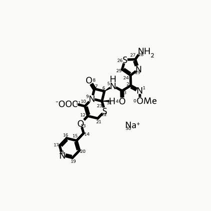 CO/N=C(\C(=O)N[C@@H]1C(=O)N2C(C(=O)[O-])=C(OCc3ccncc3)CS[C@@H]12)c1csc(N)n1.[Na+]